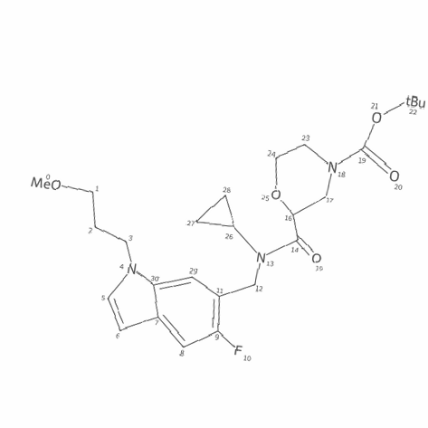 COCCCn1ccc2cc(F)c(CN(C(=O)C3CN(C(=O)OC(C)(C)C)CCO3)C3CC3)cc21